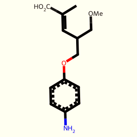 COCC(C=C(C)C(=O)O)COc1ccc(N)cc1